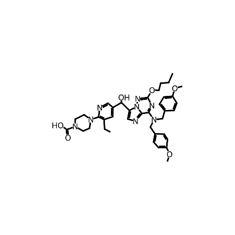 CCCCOc1nc(N(Cc2ccc(OC)cc2)Cc2ccc(OC)cc2)c2ncc(C(O)c3cnc(N4CCN(C(=O)O)CC4)c(CC)c3)n2n1